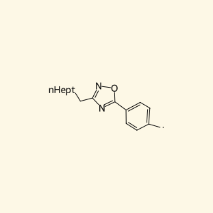 [CH2]c1ccc(-c2nc(CCCCCCCC)no2)cc1